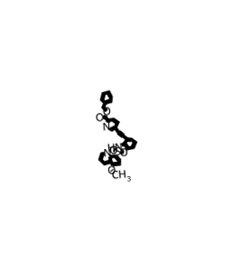 COc1ccc(S(=O)(=O)Nc2ccccc2C#Cc2ccc(C(=O)OCc3ccccc3)nc2)c2ncccc12